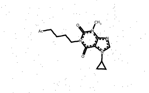 CC(=O)CCCCn1c(=O)c2c(ncn2C2CC2)n(C)c1=O